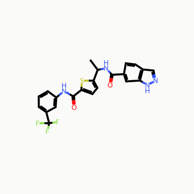 CC(NC(=O)c1ccc2cn[nH]c2c1)c1ccc(C(=O)Nc2cccc(C(F)(F)F)c2)s1